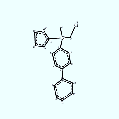 C[Si](CCl)(c1ccc(-c2ccccc2)cc1)c1cccs1